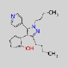 CCCCc1nn(CCCC)c(-c2ccncc2)c1-c1ccccc1O